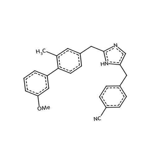 COc1cccc(-c2ccc(Cc3ncc(Cc4ccc(C#N)cc4)[nH]3)cc2C)c1